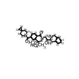 CC1(C)CN(C[C@@H](O)[C@@H]2Cc3ccccc3CN2)C(=O)c2ccc(C(=O)N3CCC4(CC3)CC4)cc21.Cl